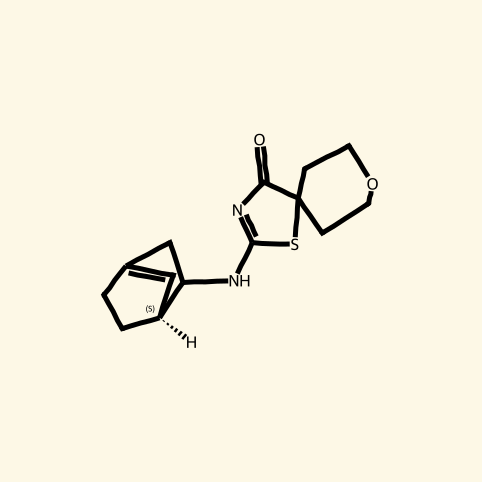 O=C1N=C(NC2CC3=C[C@@H]2CC3)SC12CCOCC2